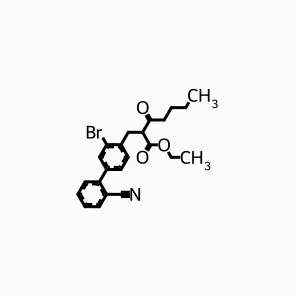 CCCCC(=O)C(Cc1ccc(-c2ccccc2C#N)cc1Br)C(=O)OCC